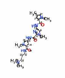 Cc1cc(C(=O)Nc2cn(C)c(C(=O)Nc3cc(C(=O)NCCCN(C)C)n(C)c3)n2)n(C)c1